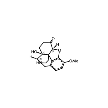 COc1ccc2c3c1O[C@H]1C(=O)CC[C@@]4(O)[C@@H](C2)NCCC314